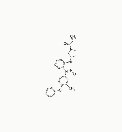 C=CC(=O)N1CCC(Nc2ccncc2N(N=O)c2ccc(Oc3ccccc3)c(C)c2)C1